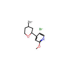 COc1cc(C2C[CH]([Zn+])CCO2)ccn1.[Br-]